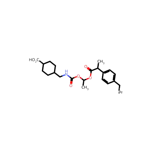 CC(C)Cc1ccc(C(C)C(=O)OC(C)OC(=O)NCC2CCC(C(=O)O)CC2)cc1